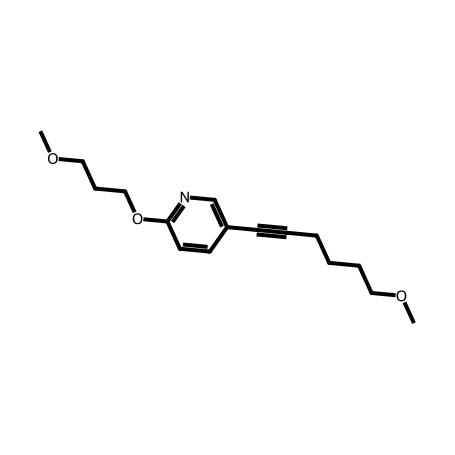 COCCCCC#Cc1ccc(OCCCOC)nc1